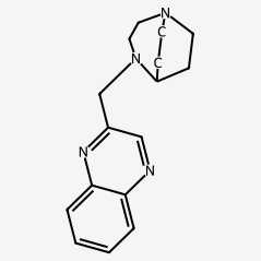 c1ccc2nc(CN3CCN4CCC3CC4)cnc2c1